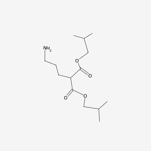 CC(C)COC(=O)C(CCCN)C(=O)OCC(C)C